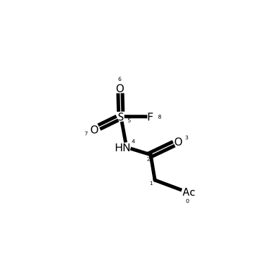 CC(=O)CC(=O)NS(=O)(=O)F